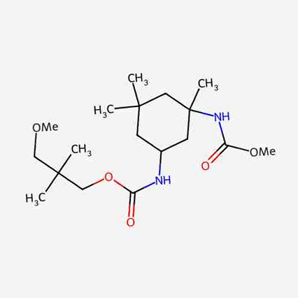 COCC(C)(C)COC(=O)NC1CC(C)(C)CC(C)(NC(=O)OC)C1